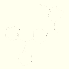 O=C(c1cncc(Br)c1)N1CCN(C(c2ccccc2)c2cccnc2)CC1